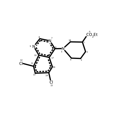 CCOC(=O)C1CCCN(c2ncnc3c(Cl)cc(Cl)cc23)C1